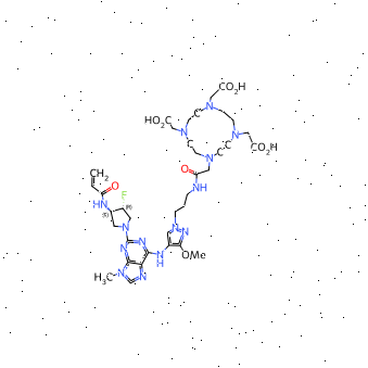 C=CC(=O)N[C@@H]1CN(c2nc(Nc3cn(CCCNC(=O)CN4CCN(CC(=O)O)CCN(CC(=O)O)CCN(CC(=O)O)CC4)nc3OC)c3ncn(C)c3n2)C[C@H]1F